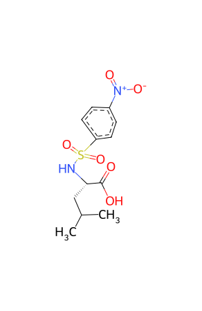 CC(C)C[C@H](NS(=O)(=O)c1ccc([N+](=O)[O-])cc1)C(=O)O